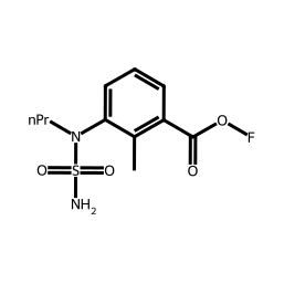 CCCN(c1cccc(C(=O)OF)c1C)S(N)(=O)=O